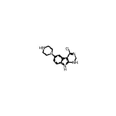 ClC1=NCNc2[nH]c3ccc(N4CCNCC4)cc3c21